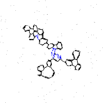 C=C1/C=C\C=C/Cc2cc(-c3cc(-c4ccc5c6ccccc6c6ccccc6c5c4)nc(-n4c5ccccc5c5cc(-c6ccc7c(c6)c6ccccc6n7-c6cccc7c8ccccc8c8ccccc8c67)ccc54)n3)ccc2-c2ccccc21